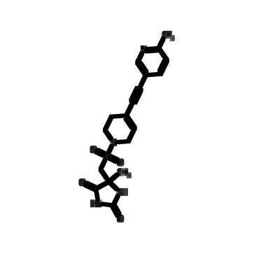 CC1(CS(=O)(=O)N2CC=C(C#Cc3ccc(C(F)(F)F)nc3)CC2)NC(=O)NC1=O